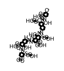 COc1ccc(N=Nc2c(SOOO)cc3cc(N=Nc4c(SOOO)cc5c(S(=O)(=O)O)cc(N=Nc6ccc7cc(S(=O)(=O)O)c(N=Nc8ccc([N+](=O)[O-])cc8SOOO)c(O)c7c6)c(N)c5c4O)ccc3c2O)c(S(=O)(=O)O)c1